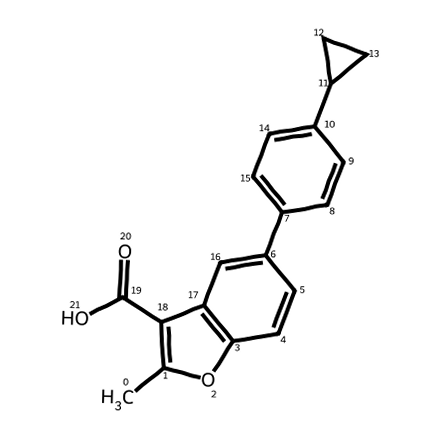 Cc1oc2ccc(-c3ccc(C4CC4)cc3)cc2c1C(=O)O